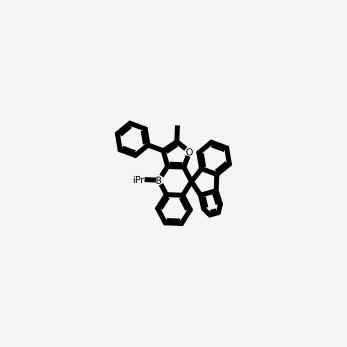 Cc1oc2c(c1-c1ccccc1)B(C(C)C)c1ccccc1C21c2ccccc2-c2ccccc21